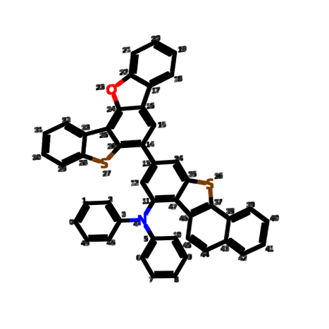 c1ccc(N(c2ccccc2)c2cc(-c3cc4c5ccccc5oc4c4c3sc3ccccc34)cc3sc4c5ccccc5ccc4c23)cc1